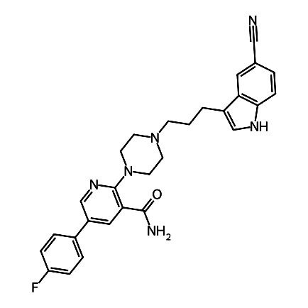 N#Cc1ccc2[nH]cc(CCCN3CCN(c4ncc(-c5ccc(F)cc5)cc4C(N)=O)CC3)c2c1